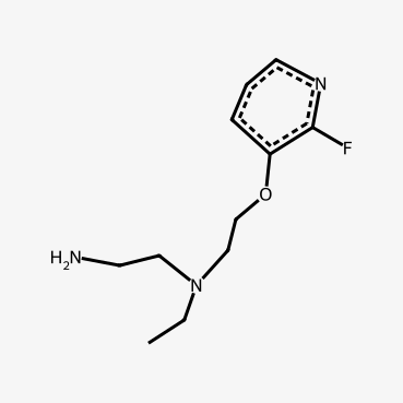 CCN(CCN)CCOc1cccnc1F